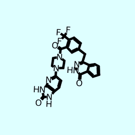 O=C(c1cc(Cc2n[nH]c(=O)c3ccccc23)ccc1C(F)(F)F)N1CCN(c2ccc3[nH]c(=O)[nH]c3n2)CC1